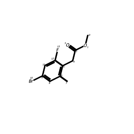 COC(=O)Cc1c(C)cc(Br)cc1F